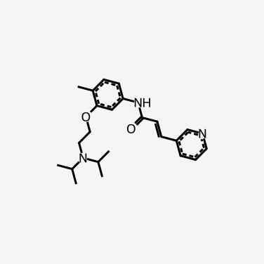 Cc1ccc(NC(=O)/C=C/c2cccnc2)cc1OCCN(C(C)C)C(C)C